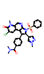 CN(C)C(=O)c1ccc(-c2c(-c3cnn(C)c3)n(S(=O)(=O)c3ccccc3)c3ncc4c(cc(Cl)c(=O)n4C)c23)cc1